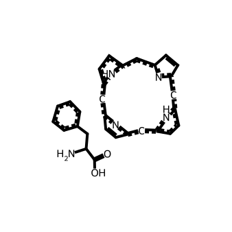 C1=Cc2cc3ccc(cc4nc(cc5ccc(cc1n2)[nH]5)C=C4)[nH]3.NC(Cc1ccccc1)C(=O)O